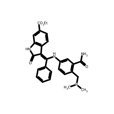 CCOC(=O)c1ccc2c(c1)NC(=O)C2=C(Nc1ccc(CN(C)C)c(C(N)=O)c1)c1ccccc1